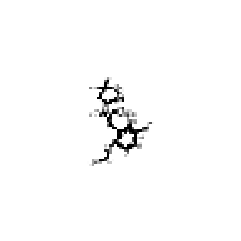 CC1(C)CC(S(=O)(=O)Cc2c(OCF)ccc(Cl)c2F)=NO1